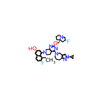 CCc1c(F)ccc2cc(O)cc(N3CCc4c(nc(OC[C@@]56CCCN5C[C@H](F)C6)nc4N4CCCc5nn(C6CC6)cc5C4)C3)c12